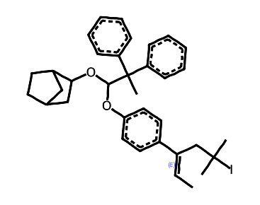 C/C=C(\CC(C)(C)I)c1ccc(OC(OC2CC3CCC2C3)C(C)(c2ccccc2)c2ccccc2)cc1